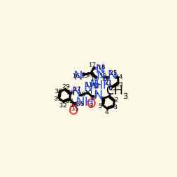 Cc1ccccc1NC(=O)C(N=Nc1c(C#N)cnn1-c1ncccn1)c1nc2ccccc2c(=O)[nH]1